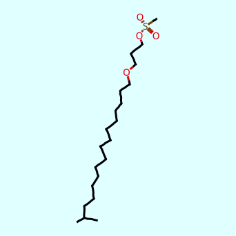 CC(C)CCCCCCCCCCCCCCOCCCOS(C)(=O)=O